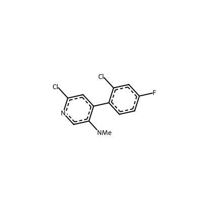 CNc1cnc(Cl)cc1-c1ccc(F)cc1Cl